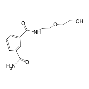 NC(=O)c1cccc(C(=O)NCCOCCO)c1